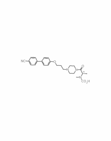 C[C@H](C(=O)N1CCN(CCCOc2ccc(-c3ccc(C#N)cc3)cc2)CC1)N(C)C(=O)O